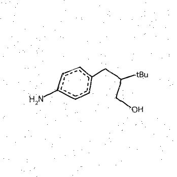 CC(C)(C)C(CO)Cc1ccc(N)cc1